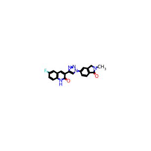 CN1Cc2cc(-n3cc(-c4cc5cc(F)ccc5[nH]c4=O)nn3)ccc2C1=O